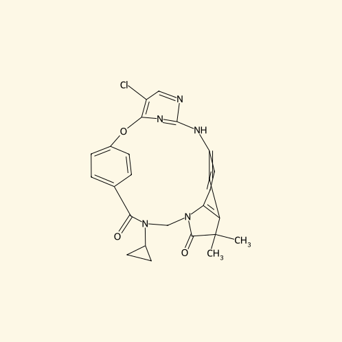 CC1(C)C(=O)N2CN(C3CC3)C(=O)c3ccc(cc3)Oc3nc(ncc3Cl)Nc3ccc2c1c3